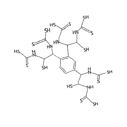 S=C(S)NC(S)C(NC(=S)S)c1ccc(C(NC(=S)S)C(S)NC(=S)S)c(C(NC(=S)S)C(S)NC(=S)S)c1